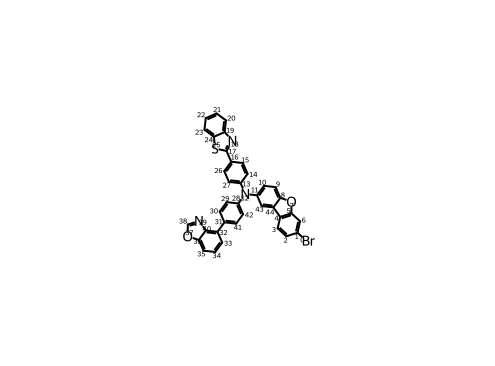 Brc1ccc2c(c1)oc1ccc(N(c3ccc(-c4nc5ccccc5s4)cc3)c3ccc(-c4cccc5ocnc45)cc3)cc12